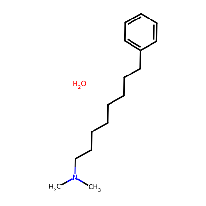 CN(C)CCCCCCCCc1ccccc1.O